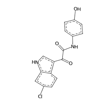 O=C(Nc1ccc(O)cc1)C(=O)c1c[nH]c2cc(Cl)ccc12